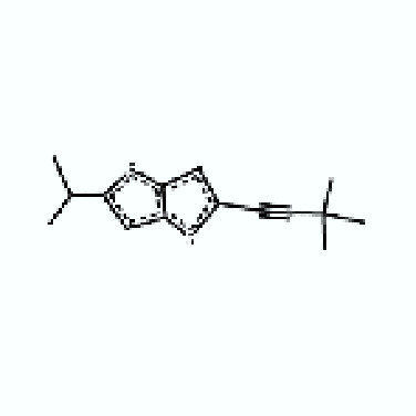 CC(C)c1cc2sc(C#CC(C)(C)C)cc2s1